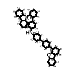 C1=CC2Oc3c(-c4ccc(-c5ccc(Nc6ccc(-c7ccccc7N7c8ccccc8C8C=CC=CC87)cc6)cc5)cc4)cccc3C2C=C1